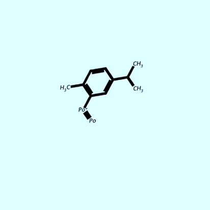 Cc1ccc(C(C)C)c[c]1[Po+]=[Po]